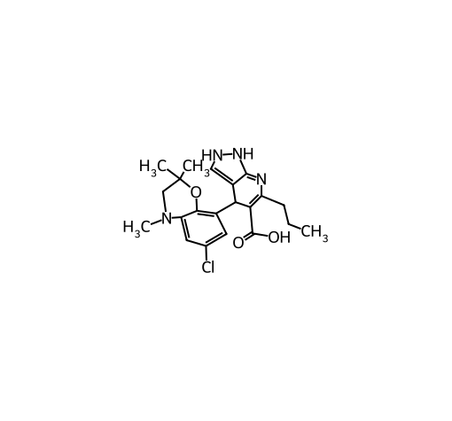 CCCC1=C(C(=O)O)C(c2cc(Cl)cc3c2OC(C)(C)CN3C)C2=CNNC2=N1